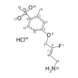 Cc1cc(OC/C(F)=C/CN)ccc1S(C)(=O)=O.Cl